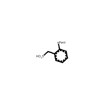 CCCCCc1ccccc1CS(=O)(=O)O